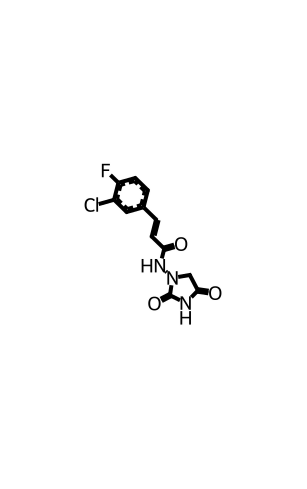 O=C(/C=C/c1ccc(F)c(Cl)c1)NN1CC(=O)NC1=O